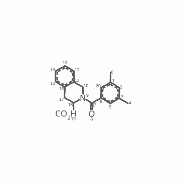 Cc1cc(C)cc(C(=O)N2Cc3ccccc3CC2C(=O)O)c1